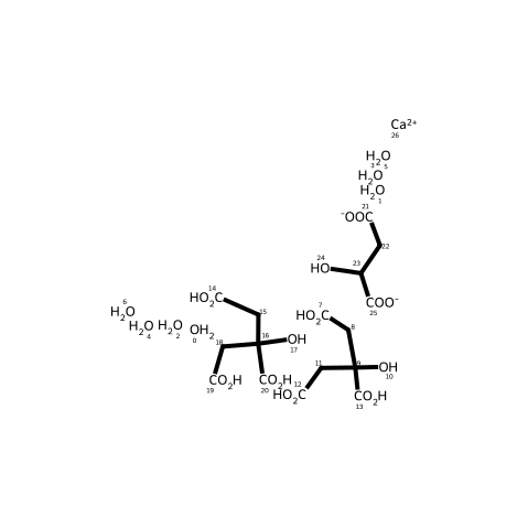 O.O.O.O.O.O.O.O=C(O)CC(O)(CC(=O)O)C(=O)O.O=C(O)CC(O)(CC(=O)O)C(=O)O.O=C([O-])CC(O)C(=O)[O-].[Ca+2]